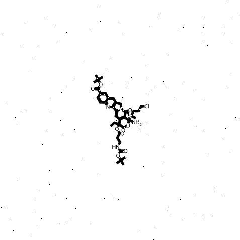 CCC1(OC(=O)CCNC(=O)OC(C)(C)C)C(=O)OC(N)([Si](C)(C)CCCCl)c2c1cc1n(c2=O)Cc2cc3cc(C(=O)OC(C)(C)C)ccc3nc2-1